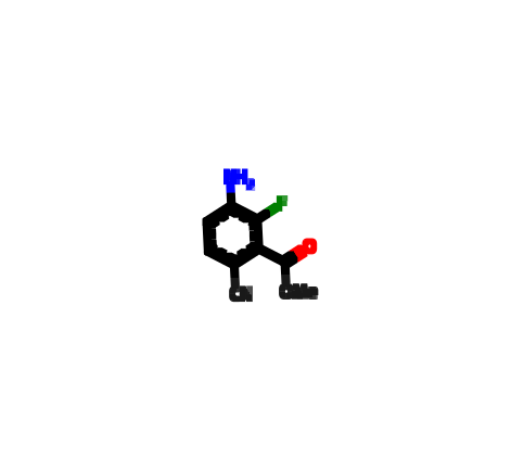 COC(=O)c1c(C#N)ccc(N)c1F